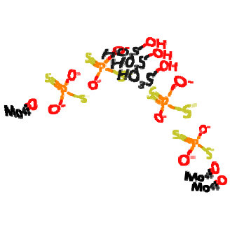 O=S(=O)(O)O.O=S(=O)(O)O.O=S(=O)(O)O.[O-]P([O-])(=S)[S-].[O-]P([O-])(=S)[S-].[O-]P([O-])(=S)[S-].[O-]P([O-])(=S)[S-].[O]=[Mo+4].[O]=[Mo+4].[O]=[Mo+4]